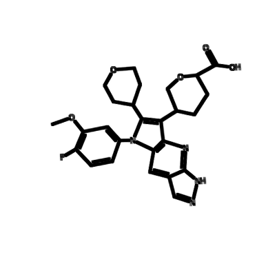 COc1cc(-n2c(C3CCOCC3)c(C3CCC(C(=O)O)OC3)c3nc4[nH]ncc4cc32)ccc1F